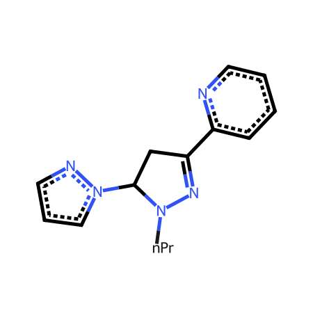 CCCN1N=C(c2ccccn2)CC1n1cccn1